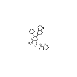 Nc1nc(-c2ccccc2)c(-c2ccc3ncccc3c2)nc1C(=O)NN1CCCc2cccnc21